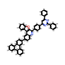 c1ccc(-c2cc(-c3ccc(-c4nc5ccc(-c6ccc7c8ccccc8c8ccccc8c7c6)cc5c5c4oc4ccccc45)cc3)nc(-c3ccccc3)n2)cc1